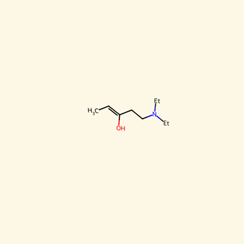 CC=C(O)CCN(CC)CC